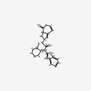 O=C1CC=CC2=CN([C@@H](CC3CCCCC3)C(=O)Nc3nc4ccccc4o3)CC12